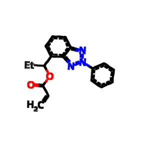 C=CC(=O)OC(CC)c1cccc2nn(-c3ccccc3)nc12